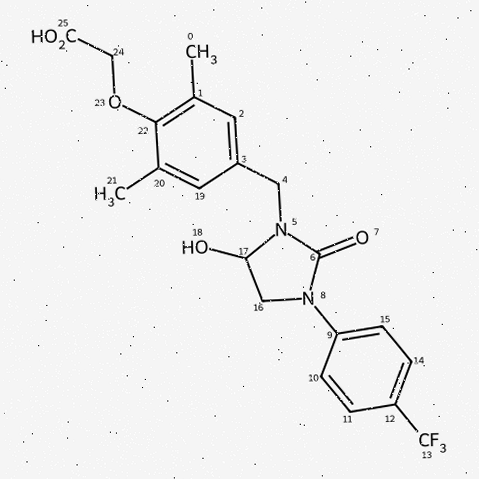 Cc1cc(CN2C(=O)N(c3ccc(C(F)(F)F)cc3)CC2O)cc(C)c1OCC(=O)O